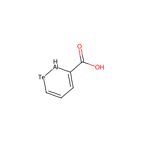 O=C(O)[C]1=CC=C[Te][AlH]1